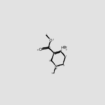 Br.COC(=O)C1=CCCN(C)C1